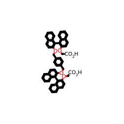 O=C(O)COc1ccc2ccccc2c1-c1c(OCc2ccc(COc3ccc4ccccc4c3-c3c(OCC(=O)O)ccc4ccccc34)cc2)ccc2ccccc12